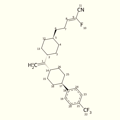 C=C([C@H]1CC[C@H](CC/C=C(\F)C#N)CC1)[C@H]1CC[C@H](c2ccc(C(F)(F)F)cc2)CC1